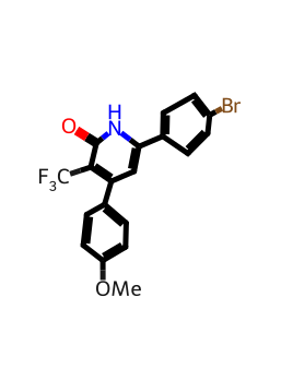 COc1ccc(-c2cc(-c3ccc(Br)cc3)[nH]c(=O)c2C(F)(F)F)cc1